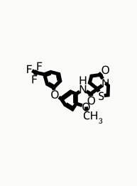 COc1ccc(Oc2cccc(C(F)(F)F)c2)cc1NC(=O)C12CCC(=O)N1CCS2